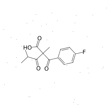 CC(C)C(=O)C(C)(C(=O)O)C(=O)c1ccc(F)cc1